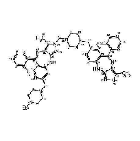 CCN1CCN(Cc2cc3c(cn2)C(c2ccccc2Cl)=Nc2c(nn(CN4CCN(Cc5cc6c(cn5)Nc5n[nH]c(C)c5N=C6c5ccncc5Cl)CC4)c2C)N3)CC1